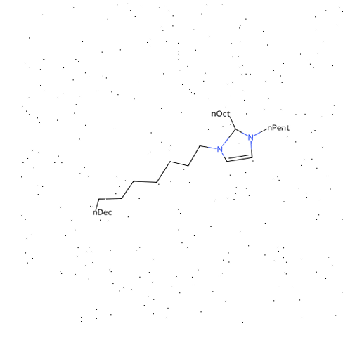 CCCCCCCCCCCCCCCCCN1C=CN(CCCCC)C1CCCCCCCC